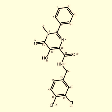 Cn1c(-c2ccccc2)nc(C(=O)NCc2ccc(Cl)c(Cl)c2)c(O)c1=O